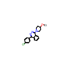 CCOC1CCN(c2nnc(-c3ccc(Cl)cc3)c3ccccc23)CC1